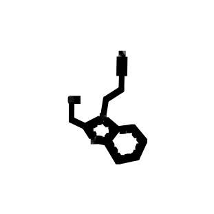 N#CCCn1c(CO)nc2ccccc21